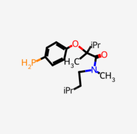 CC(C)CCN(C)C(=O)C(C)(Oc1ccc(P)cc1)C(C)C